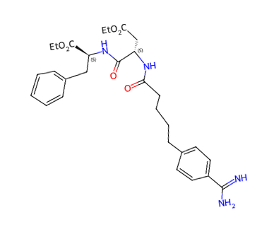 CCOC(=O)C[C@H](NC(=O)CCCCc1ccc(C(=N)N)cc1)C(=O)N[C@@H](Cc1ccccc1)C(=O)OCC